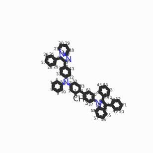 CC1C=C(N(c2ccccc2)c2ccc(-c3nc4ccccn4c3-c3ccccc3)cc2)C=CC1c1ccc(-n2c(-c3ccccc3)c(-c3ccccc3)c3ccccc32)cc1